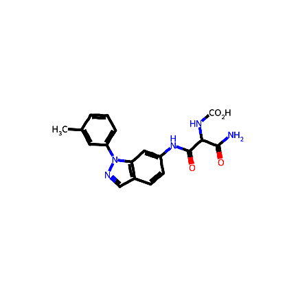 Cc1cccc(-n2ncc3ccc(NC(=O)C(NC(=O)O)C(N)=O)cc32)c1